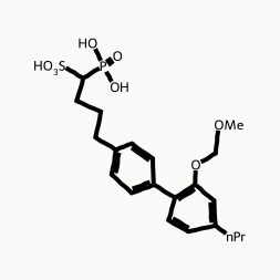 CCCc1ccc(-c2ccc(CCCC(P(=O)(O)O)S(=O)(=O)O)cc2)c(OCOC)c1